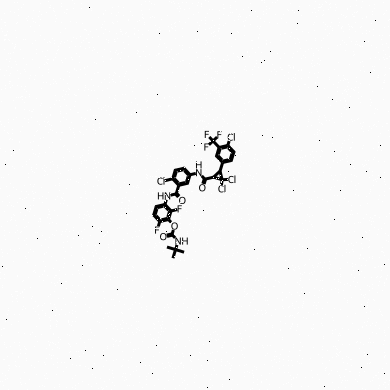 CC(C)(C)NC(=O)Oc1c(F)ccc(NC(=O)c2cc(NC(=O)C3C(c4ccc(Cl)c(C(F)(F)F)c4)C3(Cl)Cl)ccc2Cl)c1F